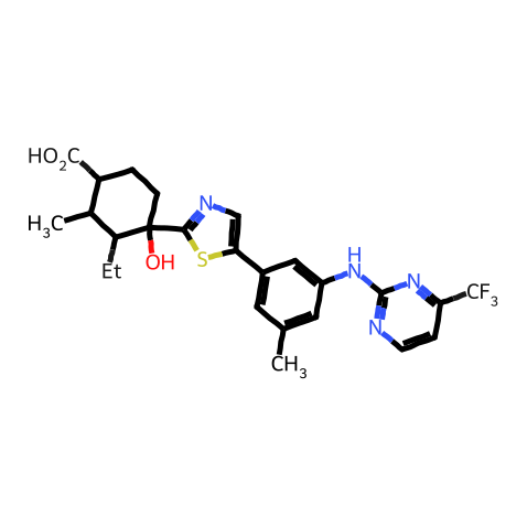 CCC1C(C)C(C(=O)O)CCC1(O)c1ncc(-c2cc(C)cc(Nc3nccc(C(F)(F)F)n3)c2)s1